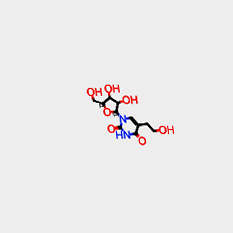 O=c1[nH]c(=O)n([C@H]2O[C@@H](CO)C(O)C2O)cc1CCO